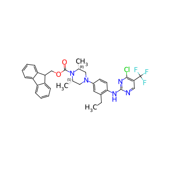 CCc1cc(N2C[C@@H](C)N(C(=O)OCC3c4ccccc4-c4ccccc43)[C@@H](C)C2)ccc1Nc1ncc(C(F)(F)F)c(Cl)n1